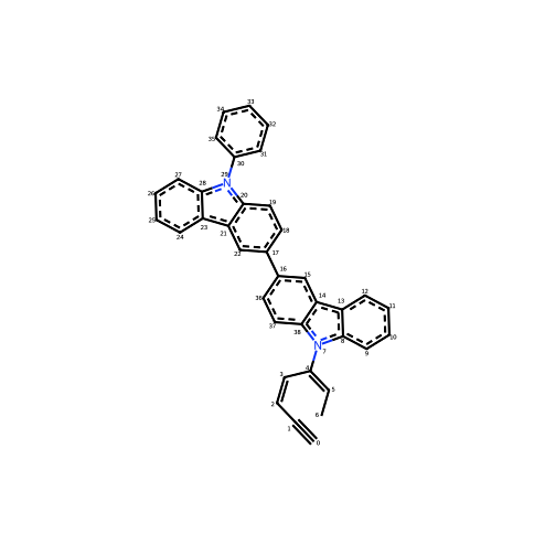 C#C/C=C\C(=C/C)n1c2ccccc2c2cc(-c3ccc4c(c3)c3ccccc3n4-c3ccccc3)ccc21